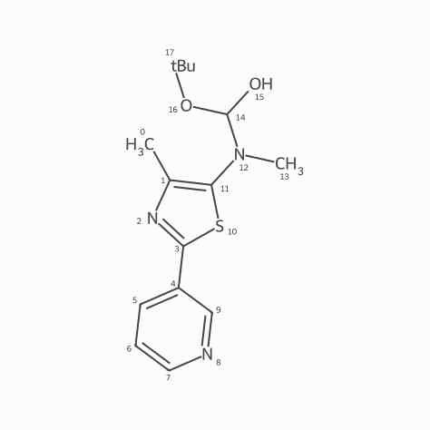 Cc1nc(-c2cccnc2)sc1N(C)C(O)OC(C)(C)C